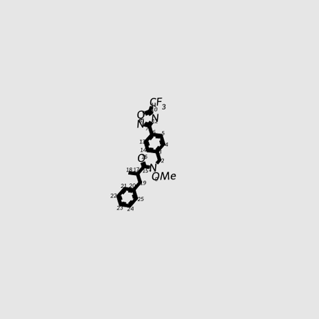 CON(Cc1ccc(-c2noc(C(F)(F)F)n2)cc1)C(=O)C(C)Cc1ccccc1